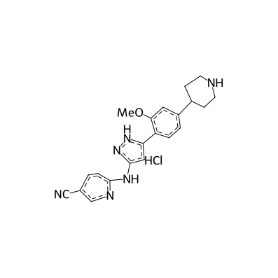 COc1cc(C2CCNCC2)ccc1-c1cc(Nc2ccc(C#N)cn2)n[nH]1.Cl